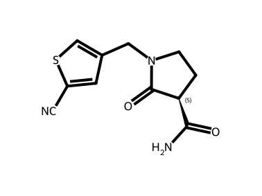 N#Cc1cc(CN2CC[C@@H](C(N)=O)C2=O)cs1